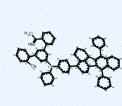 CC(=N)c1ccccc1-c1cc(-c2ccccc2C#N)cc(N(c2ccccc2)c2ccc(-c3ccc4c5c(cccc35)-c3c-4c(-c4ccccc4)c4ccccc4c3-c3ccccc3)cc2)c1